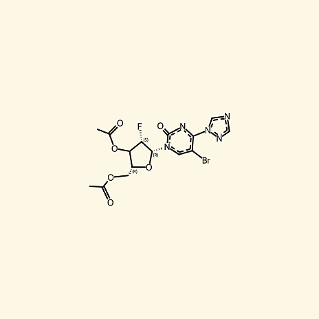 CC(=O)OC[C@H]1O[C@@H](n2cc(Br)c(-n3cncn3)nc2=O)[C@@H](F)C1OC(C)=O